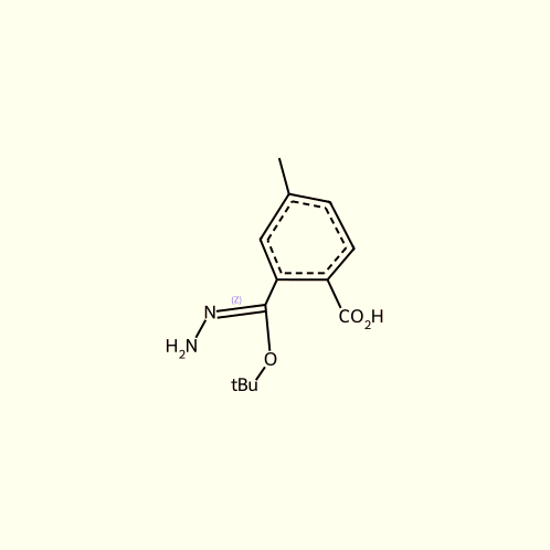 Cc1ccc(C(=O)O)c(/C(=N/N)OC(C)(C)C)c1